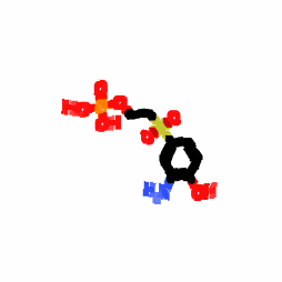 Nc1cc(S(=O)(=O)CCOP(=O)(O)O)ccc1O